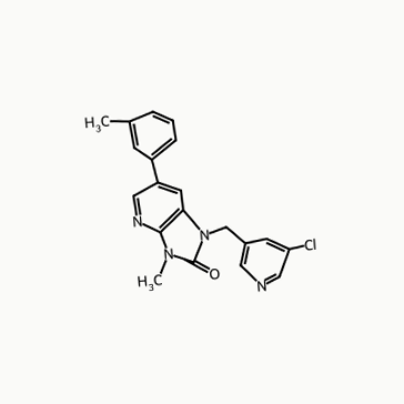 Cc1cccc(-c2cnc3c(c2)n(Cc2cncc(Cl)c2)c(=O)n3C)c1